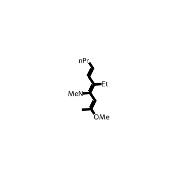 CCC/C=C/C(CC)=C(/C=C(\C)OC)NC